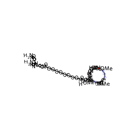 CO[C@H]1C[C@@H]2CC[C@@H](C)[C@@](O)(O2)C(=O)C(=O)N2CCCC[C@H]2C(=O)O[C@H]([C@H](C)C[C@@H]2CC[C@@H](OC(=O)NCCOCCOCCOCCOCCOCCOCCOCCOCCC(=O)N3CCc4cc(Cn5nc(-c6ccc7oc(N)nc7c6)c6c(N)ncnc65)ccc4C3)[C@H](OC)C2)C[C@H](N=[N+]=[N-])[C@H](C)/C=C(\C)[C@@H](O)[C@@H](OC)C(=O)[C@H](C)C[C@H](C)/C=C/C=C/C=C/1C